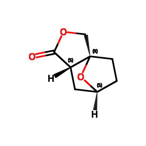 O=C1OC[C@@]23CC[C@@H](C[C@H]12)O3